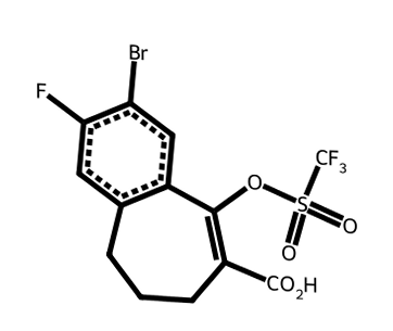 O=C(O)C1=C(OS(=O)(=O)C(F)(F)F)c2cc(Br)c(F)cc2CCC1